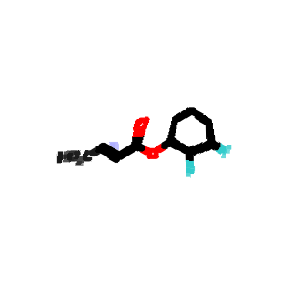 O=C(O)/C=C/C(=O)OC1CCCC(F)C1F